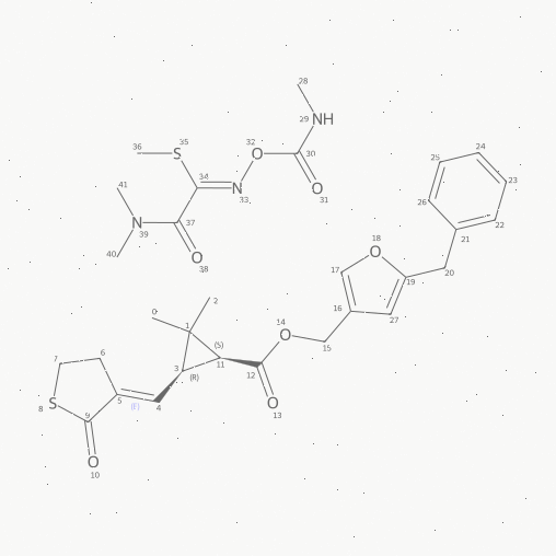 CC1(C)[C@H](/C=C2\CCSC2=O)[C@@H]1C(=O)OCc1coc(Cc2ccccc2)c1.CNC(=O)ON=C(SC)C(=O)N(C)C